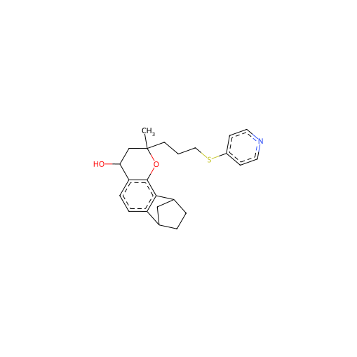 CC1(CCCSc2ccncc2)CC(O)c2ccc3c(c2O1)C1CCC3C1